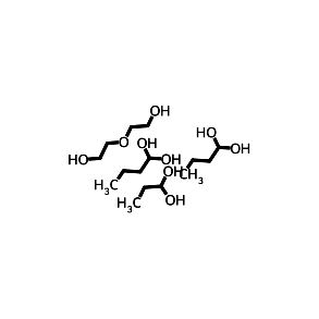 CCC(O)O.CCCC(O)O.CCCC(O)O.OCCOCCO